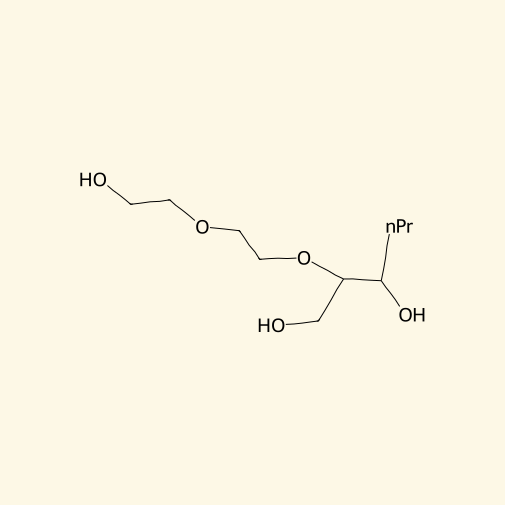 CCCC(O)C(CO)OCCOCCO